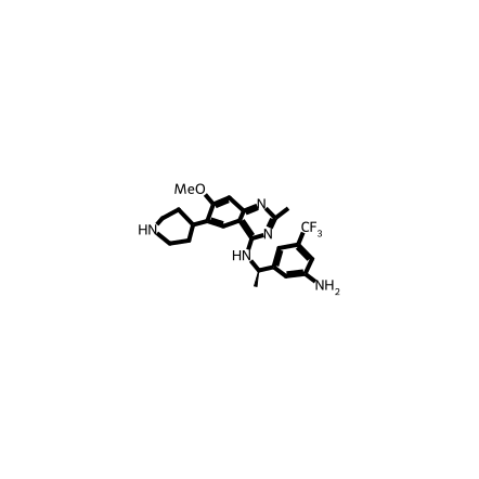 COc1cc2nc(C)nc(N[C@H](C)c3cc(N)cc(C(F)(F)F)c3)c2cc1C1CCNCC1